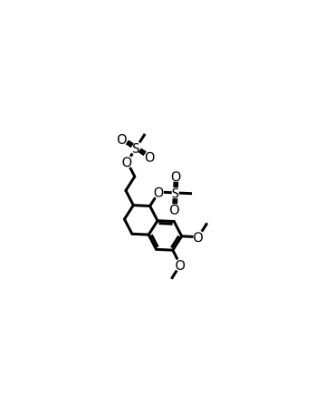 COc1cc2c(cc1OC)C(OS(C)(=O)=O)C(CCOS(C)(=O)=O)CC2